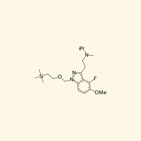 COc1ccc2c(c(CCN(C)C(C)C)nn2COCC[Si](C)(C)C)c1F